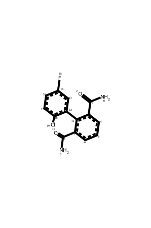 NC(=O)c1cccc(C(N)=O)c1-c1cc(F)ccc1Cl